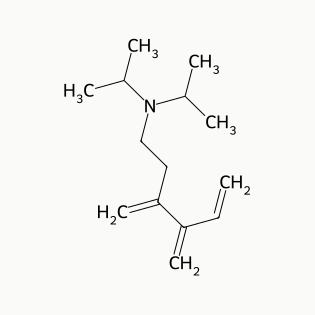 C=CC(=C)C(=C)CCN(C(C)C)C(C)C